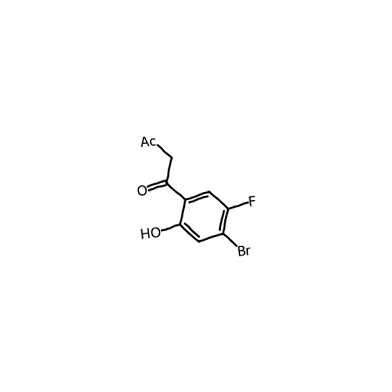 CC(=O)CC(=O)c1cc(F)c(Br)cc1O